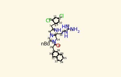 CCCC[C@@H]1CN(C[C@@H](N)Cc2ccc(Cl)cc2Cl)[C@@H](CCCNC(=N)N)CN1C(=O)Cc1ccc2ccccc2c1